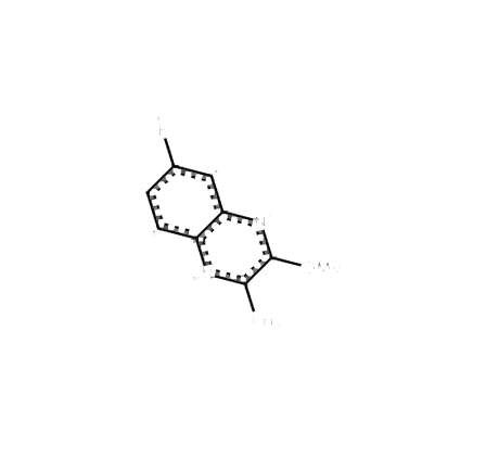 COc1nc2cc(F)ccc2nc1C